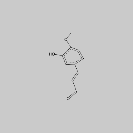 COc1ccc(C=CC=O)cc1O